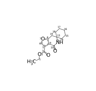 CCOC(=O)c1coc2c1C(=O)NC1(CCCCC1)C2